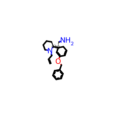 C=CCN1CCCC[C@H]1[C@]1(CN)C=C(OCc2ccccc2)C=CC1